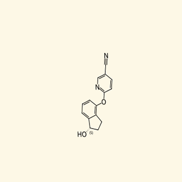 N#Cc1ccc(Oc2cccc3c2CC[C@@H]3O)nc1